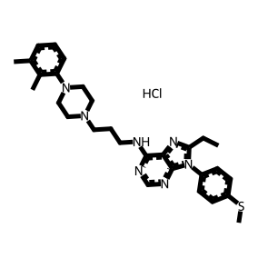 CCc1nc2c(NCCCN3CCN(c4cccc(C)c4C)CC3)ncnc2n1-c1ccc(SC)cc1.Cl